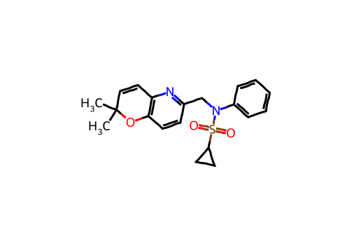 CC1(C)C=Cc2nc(CN(c3ccccc3)S(=O)(=O)C3CC3)ccc2O1